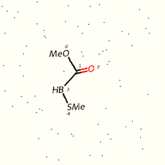 COC(=O)BSC